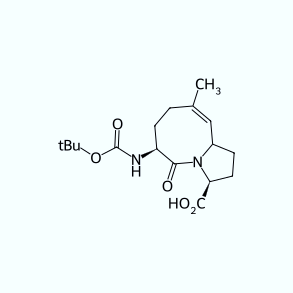 CC1=CC2CC[C@@H](C(=O)O)N2C(=O)[C@@H](NC(=O)OC(C)(C)C)CC1